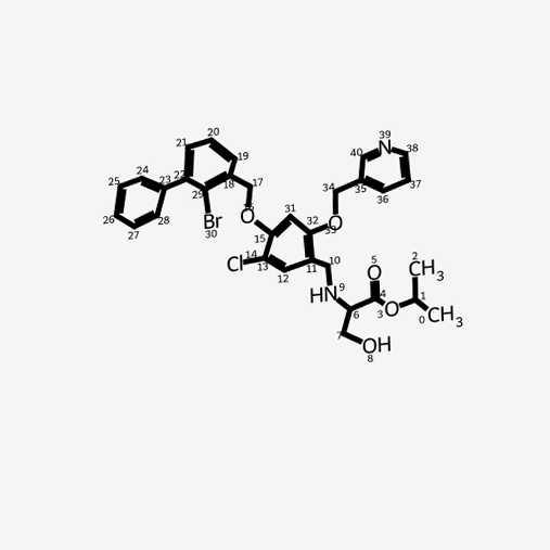 CC(C)OC(=O)C(CO)NCc1cc(Cl)c(OCc2cccc(-c3ccccc3)c2Br)cc1OCc1cccnc1